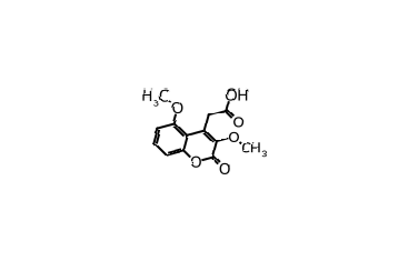 COc1c(CC(=O)O)c2c(OC)cccc2oc1=O